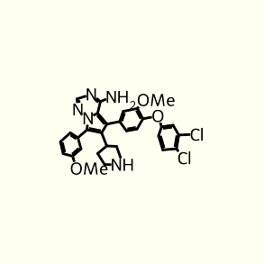 COc1cccc(-c2c(C3CCNCC3)c(-c3ccc(Oc4ccc(Cl)c(Cl)c4)c(OC)c3)c3c(N)ncnn23)c1